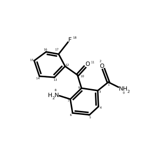 NC(=O)c1cccc(N)c1C(=O)c1ccccc1F